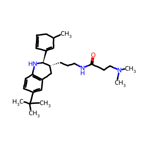 CC1C=C([C@@H]2Nc3ccc(C(C)(C)C)cc3C[C@H]2CCCNC(=O)CCN(C)C)C=CC1